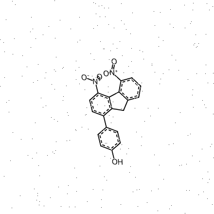 O=[N+]([O-])c1cccc2c1-c1c([N+](=O)[O-])ccc(-c3ccc(O)cc3)c1C2